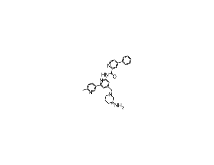 Cc1ccc(-c2cc(CN3CCC[C@H](N)C3)cc(NC(=O)c3cc(-c4ccccc4)ccn3)n2)cn1